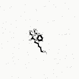 CCCCCCNC(=O)OCC.CNC.c1ccccc1